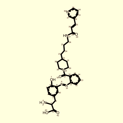 NC(Cc1ccc(O)c(N=Nc2ccccc2C(=O)N2CCC(CCCCNC(=O)/C=C/c3cccnc3)CC2)c1)C(=O)O